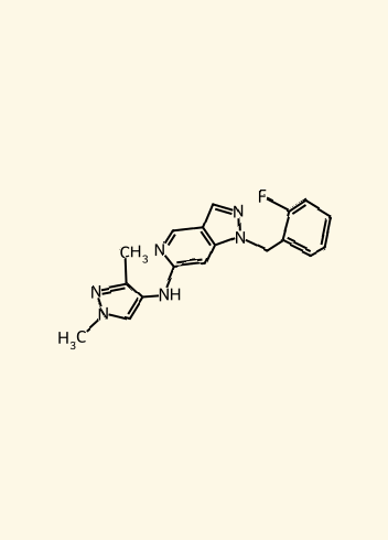 Cc1nn(C)cc1Nc1cc2c(cn1)cnn2Cc1ccccc1F